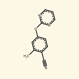 Cc1cc(Oc2ncccn2)ccc1C#N